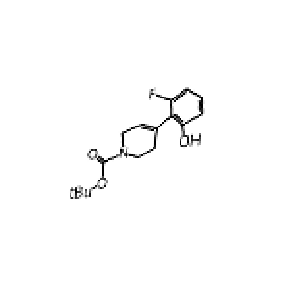 CC(C)(C)OC(=O)N1CC=C(c2c(O)cccc2F)CC1